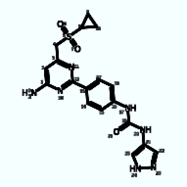 Nc1cc(CS(=O)(=O)C2CC2)nc(-c2ccc(NC(=O)Nc3cn[nH]c3)cc2)n1